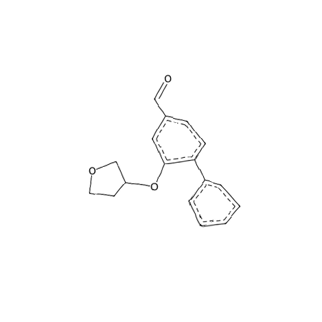 O=Cc1ccc(-c2ccccc2)c(OC2CCOC2)c1